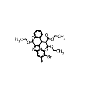 CCOC(=O)c1nc2cc(F)c(Br)cn2c1C(c1ccccc1)C(C(=O)OCC)C(=O)OCC